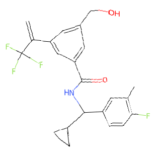 C=C(c1cc(CO)cc(C(=O)NC(c2ccc(F)c(C)c2)C2CC2)c1)C(F)(F)F